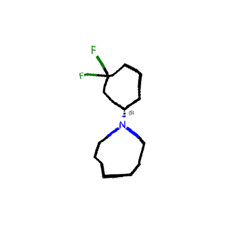 FC1(F)CCC[C@H](N2CCCCCC2)C1